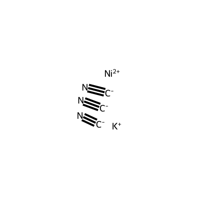 [C-]#N.[C-]#N.[C-]#N.[K+].[Ni+2]